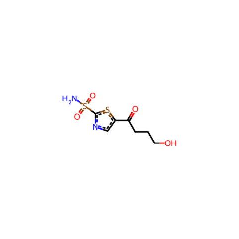 NS(=O)(=O)c1ncc(C(=O)CCCO)s1